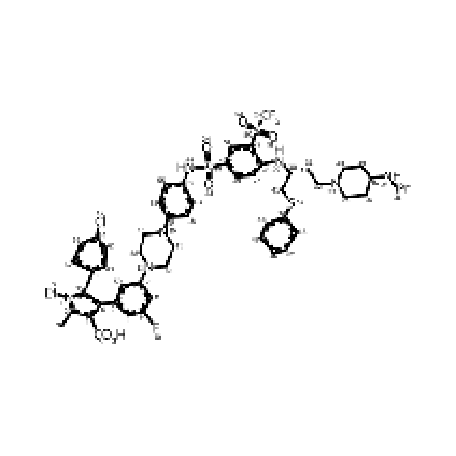 CCn1c(C)c(C(=O)O)c(-c2cc(F)cc(N3CCN(c4ccc(NS(=O)(=O)c5ccc(N[C@H](CCN6CCC(NC(C)C)CC6)CSc6ccccc6)c(S(=O)(=O)C(F)(F)F)c5)cc4)CC3)c2)c1-c1ccc(Cl)cc1